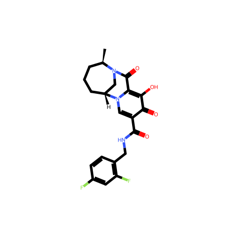 C[C@@H]1CCC[C@@H]2CN1C(=O)c1c(O)c(=O)c(C(=O)NCc3ccc(F)cc3F)cn12